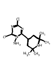 CC1(C)CC(C2=NC(Cl)=NC(Cl)N2N)CC(C)(C)N1